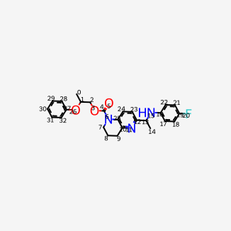 CC(COC(=O)N1CCCc2nc(C(C)Nc3ccc(F)cc3)ccc21)Oc1ccccc1